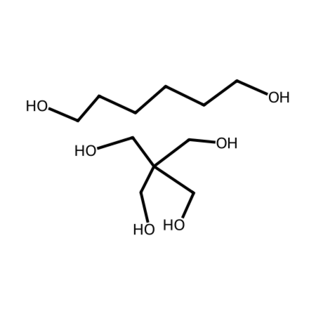 OCC(CO)(CO)CO.OCCCCCCO